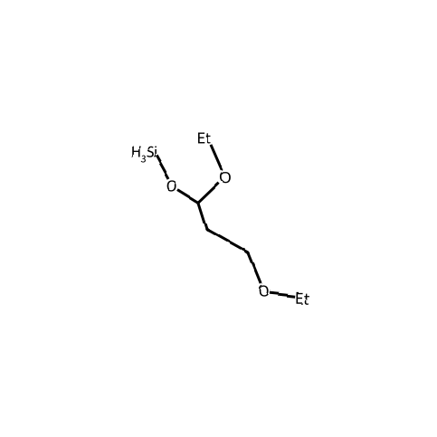 CCOCCC(O[SiH3])OCC